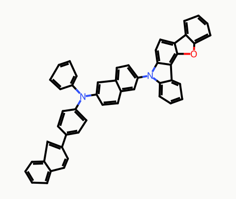 c1ccc(N(c2ccc(-c3ccc4ccccc4c3)cc2)c2ccc3cc(-n4c5ccccc5c5c6oc7ccccc7c6ccc54)ccc3c2)cc1